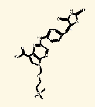 CC(C)(C)C(=O)c1cn(COCC[Si](C)(C)C)c2ncc(Nc3ccc(/C=C4/SC(=O)NC4=O)cc3)nc12